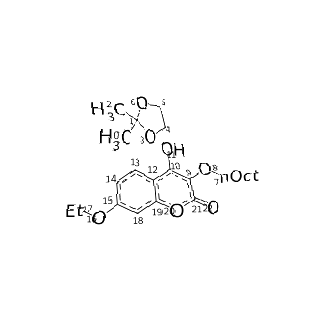 CC1(C)OCCO1.CCCCCCCCOc1c(O)c2ccc(OCC)cc2oc1=O